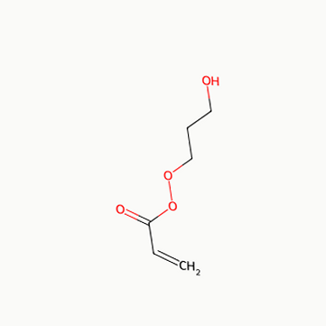 C=CC(=O)OOCCCO